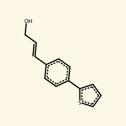 OC/C=C/c1ccc(-c2cccs2)cc1